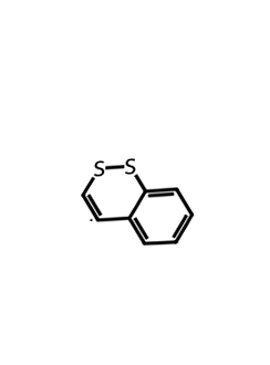 [C]1=CSSc2ccccc21